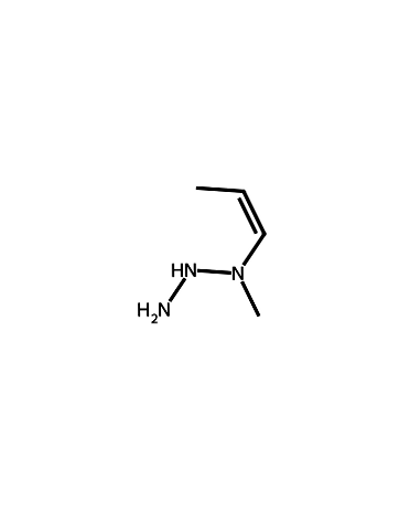 C/C=C\N(C)NN